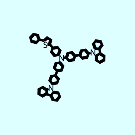 c1ccc(-c2ccc(-c3ccc(N(c4ccc(-c5ccc(-n6c7ccccc7c7ccccc76)cc5)cc4)c4ccc(-c5ccc(-n6c7ccccc7c7ccccc76)cc5)cc4)cc3)s2)cc1